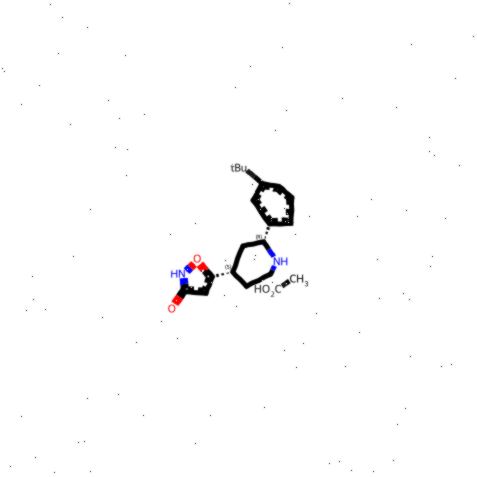 CC(=O)O.CC(C)(C)c1cccc([C@H]2C[C@@H](c3cc(=O)[nH]o3)CCN2)c1